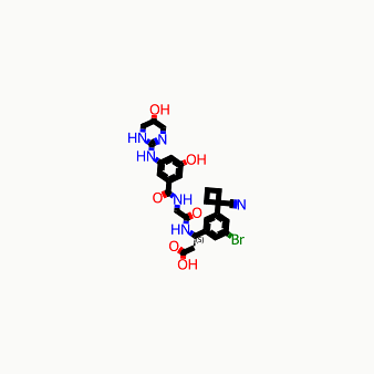 N#CC1(c2cc(Br)cc([C@H](CC(=O)O)NC(=O)CNC(=O)c3cc(O)cc(NC4=NCC(O)CN4)c3)c2)CCC1